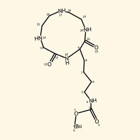 CC(C)(C)OC(=O)NCCCCC1NC(=O)CNCCNCCNC1=O